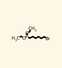 CCOP(CCCCCCBr)OCC